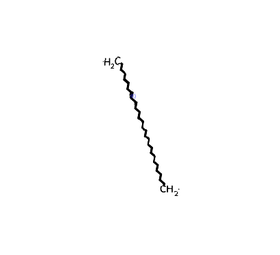 [CH2]CCCCCC/C=C/CCCCCCCCCCCCCCCCCCC[CH2]